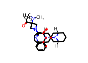 CC(=O)C1(N(C)C)CN(c2nc3ccccc3n([C@H]3C[C@H]4CCC[C@@H](C3)N4[C@@H]3C[C@@H]4CCCC[C@@H](C4)C3)c2=O)C1